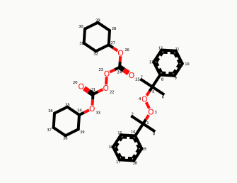 CC(C)(OOC(C)(C)c1ccccc1)c1ccccc1.O=C(OOC(=O)OC1CCCCC1)OC1CCCCC1